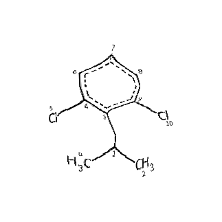 CC(C)c1c(Cl)c[c]cc1Cl